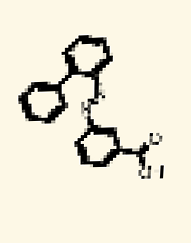 O=C(O)c1cccc(N=Nc2ccccc2-c2ccccc2)c1